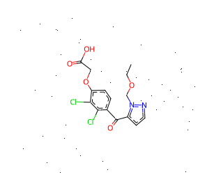 CCOCn1nccc1C(=O)c1ccc(OCC(=O)O)c(Cl)c1Cl